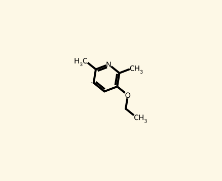 CCOc1c[c]c(C)nc1C